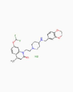 Cc1cc(=O)n(CCN2CCC(NCc3ccc4c(c3)OCCO4)CC2)c2cc(OC(F)F)ccc12.Cl